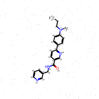 CC(=O)N(CCC(F)(F)F)c1ccc(-c2ccc(C(=O)NCc3cccnc3)cn2)cc1